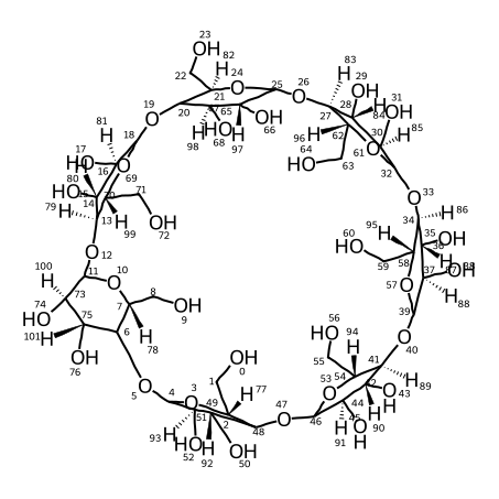 OC[C@H]1OC2OC3[C@@H](CO)OC(O[C@H]4[C@H](O)[C@@H](O)C(OC5[C@@H](CO)OC(O[C@H]6[C@H](O)[C@@H](O)C(O[C@H]7[C@H](O)[C@@H](O)C(O[C@H]8[C@H](O)[C@@H](O)C(OC1[C@H](O)[C@H]2O)O[C@@H]8CO)O[C@@H]7CO)O[C@@H]6CO)[C@H](O)[C@H]5O)O[C@@H]4CO)[C@H](O)[C@H]3O